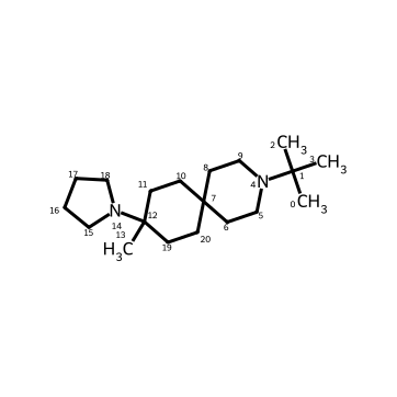 CC(C)(C)N1CCC2(CC1)CCC(C)(N1CCCC1)CC2